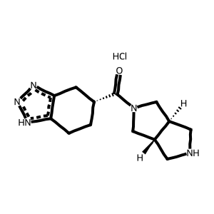 Cl.O=C([C@@H]1CCc2[nH]nnc2C1)N1C[C@H]2CNC[C@@H]2C1